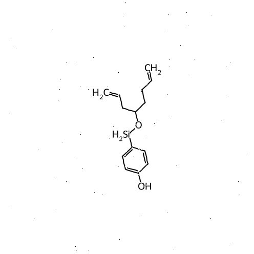 C=CCCC(CC=C)O[SiH2]c1ccc(O)cc1